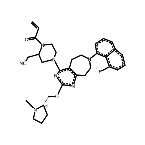 C=CC(=O)N1CCN(c2nc(OC[C@@H]3CCCN3C)nc3c2CCN(c2cccc4cccc(F)c24)CC3)CC1CC#N